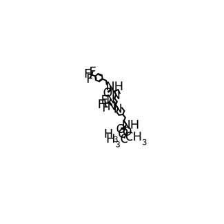 CC(C)(C)OC(=O)NCCC1CCN(c2cc(N3CC[C@H]3C(=O)NCCc3ccc(C(F)(F)F)cc3)nc(C(F)(F)F)n2)CC1